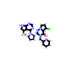 N#Cc1c[nH]c2ncnc(N3CCC[C@H]3c3nn4ccc(Cl)c4c(=O)n3Cc3ccccn3)c12